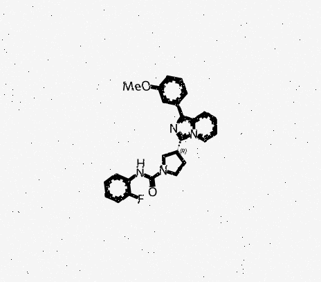 COc1cccc(-c2nc([C@@H]3CCN(C(=O)Nc4ccccc4F)C3)n3ccccc23)c1